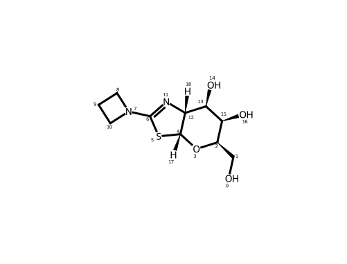 OC[C@H]1O[C@@H]2SC(N3CCC3)=N[C@@H]2[C@@H](O)[C@H]1O